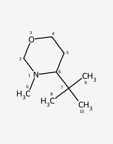 CN1COCCC1C(C)(C)C